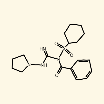 N=C(NN1CCCC1)N(C(=O)c1ccccc1)S(=O)(=O)C1CCCCC1